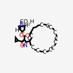 O=C(O[C@@H]1C[C@@H]2C[C@H]1CN2C(=O)O)c1c(C23CCCCCCCCCCCCCCCCCCCCCCC(CC2)CC3)noc1C1CC1